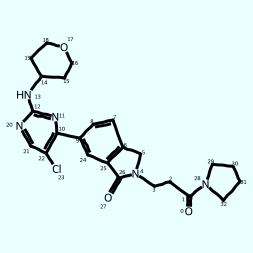 O=C(CCN1Cc2ccc(-c3nc(NC4CCOCC4)ncc3Cl)cc2C1=O)N1CCCC1